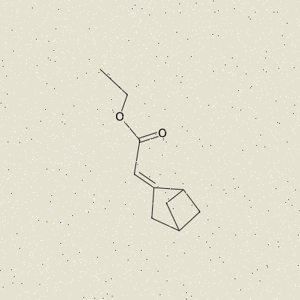 CCOC(=O)/C=C1/CC2CC1C2